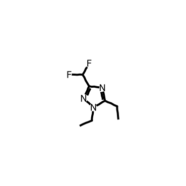 CCc1nc(C(F)F)nn1CC